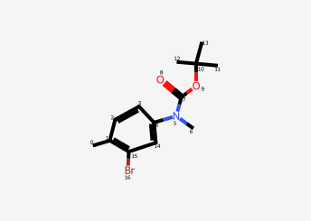 Cc1ccc(N(C)C(=O)OC(C)(C)C)cc1Br